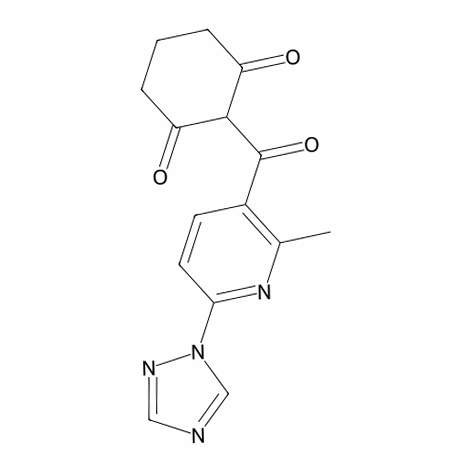 Cc1nc(-n2cncn2)ccc1C(=O)C1C(=O)CCCC1=O